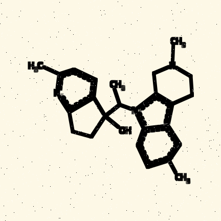 Cc1ccc2c(c1)c1c(n2C(C)C2(O)CCc3nc(C)ccc32)CN(C)CC1